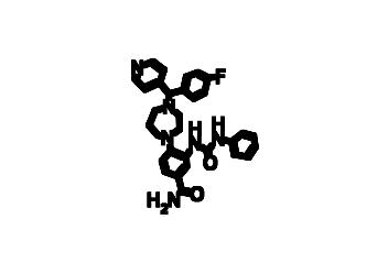 NC(=O)c1ccc(N2CCCN(C(c3ccncc3)c3ccc(F)cc3)CC2)c(NC(=O)Nc2ccccc2)c1